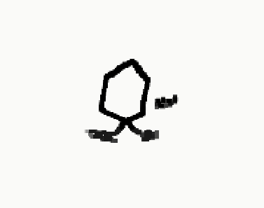 CC(C)(C)C1(C(=O)[O-])CCCCC1.[Na+]